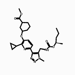 CCC[C@@H](C)OC(=O)NCc1c(-c2ccc(OC3CCCC(C(=O)OC)C3)c(C3CC3)n2)nnn1C